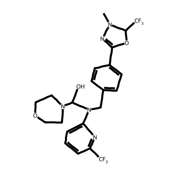 CN1N=C(c2ccc(CN(c3cccc(C(F)(F)F)n3)C(O)N3CCOCC3)cc2)OC1C(F)(F)F